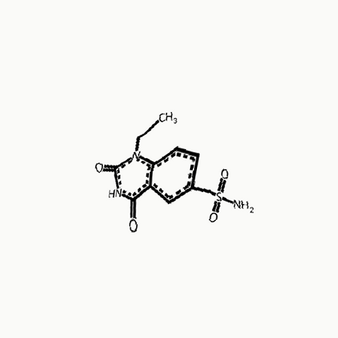 CCn1c(=O)[nH]c(=O)c2cc(S(N)(=O)=O)ccc21